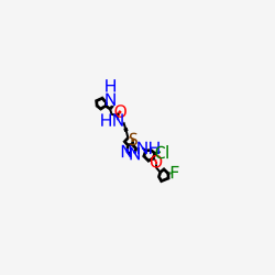 O=C(Cc1c[nH]c2ccccc12)NCC#Cc1cc2ncnc(Nc3ccc(OCc4cccc(F)c4)c(Cl)c3)c2s1